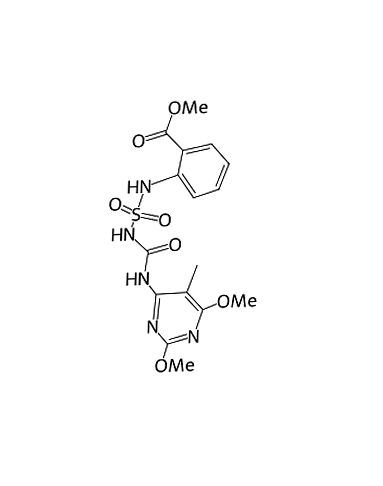 COC(=O)c1ccccc1NS(=O)(=O)NC(=O)Nc1nc(OC)nc(OC)c1C